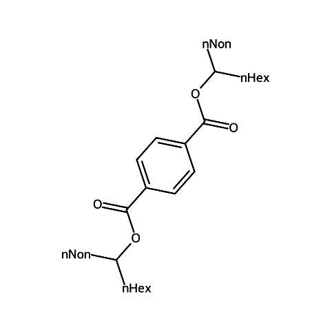 CCCCCCCCCC(CCCCCC)OC(=O)c1ccc(C(=O)OC(CCCCCC)CCCCCCCCC)cc1